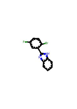 Fc1ccc(Br)c(-c2nc3ccccc3[nH]2)c1